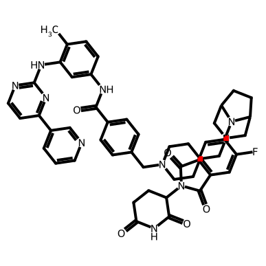 Cc1ccc(NC(=O)c2ccc(CN3CCC(CN4CC5CCC(C4)N5c4cc5c(cc4F)C(=O)N(C4CCC(=O)NC4=O)C5=O)CC3)cc2)cc1Nc1nccc(-c2cccnc2)n1